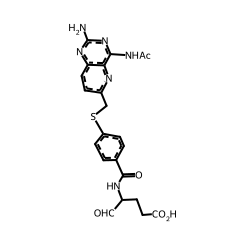 CC(=O)Nc1nc(N)nc2ccc(CSc3ccc(C(=O)NC(C=O)CCC(=O)O)cc3)nc12